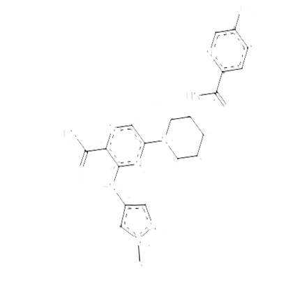 C[C@@H]1[C@H](NC(=O)c2ccc(C(C)(C)C)cn2)CCCN1c1cnc(C(N)=O)c(Nc2cnn(C)c2)n1